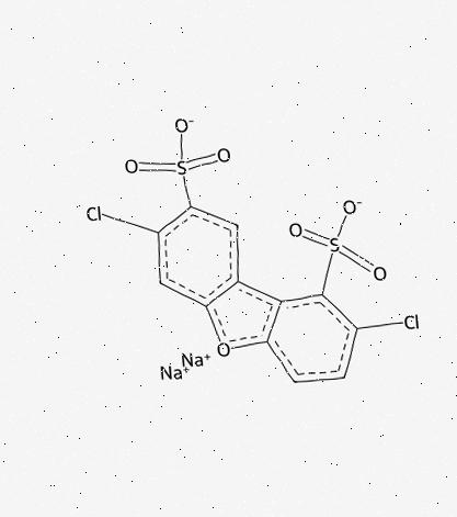 O=S(=O)([O-])c1cc2c(cc1Cl)oc1ccc(Cl)c(S(=O)(=O)[O-])c12.[Na+].[Na+]